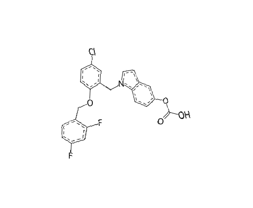 O=C(O)Oc1ccc2c(ccn2Cc2cc(Cl)ccc2OCc2ccc(F)cc2F)c1